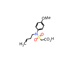 C=CCCN(c1ccc(OC)cc1)S(=O)(=O)CC(=O)O